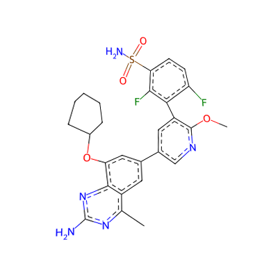 COc1ncc(-c2cc(OC3CCCCC3)c3nc(N)nc(C)c3c2)cc1-c1c(F)ccc(S(N)(=O)=O)c1F